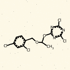 CC(OCc1ccc(Cl)cc1Cl)Oc1nc(Cl)nc(Cl)n1